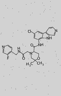 CC1(C)CN(CC(=O)NCc2ccncc2F)C(C(=O)Nc2cc(Cl)cc3c2[nH]c2cnccc23)CO1